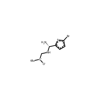 CC(C)(C)[S+]([O-])CN[C@H](N)c1ccc(Br)s1